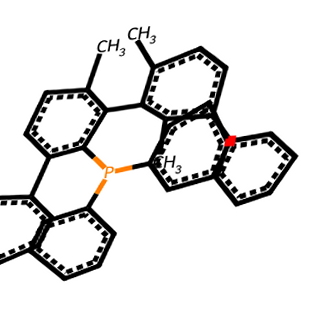 Cc1ccc(-c2ccccc2)c(C)c1-c1c(C)ccc(-c2ccccc2)c1P(c1ccccc1)c1ccccc1